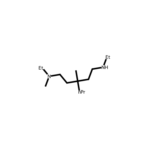 CCCC(C)(CCNCC)CCN(C)CC